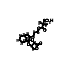 O=C1OCC2OC3(OC12)C(CCCOC(=O)C(F)(F)S(=O)(=O)O)CC1CCCC3C1